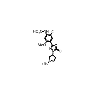 CCCCN1CCC(n2nc(-c3cc(Cl)c(NC(=O)O)cc3OC)oc2=O)C1